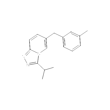 Cc1cccc(Cc2ccc3nnc(C(C)C)n3c2)c1